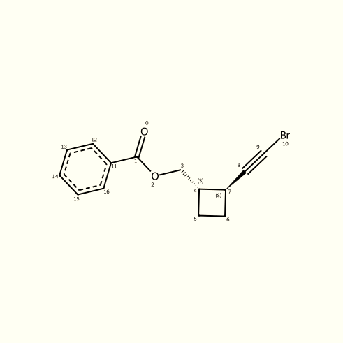 O=C(OC[C@H]1CC[C@@H]1C#CBr)c1ccccc1